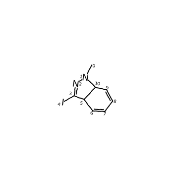 CN1N=C(I)C2C=CC=CC21